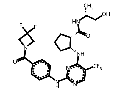 C[C@H](CO)NC(=O)[C@H]1CCC[C@H]1Nc1nc(Nc2ccc(C(=O)N3CC(F)(F)C3)cc2)ncc1C(F)(F)F